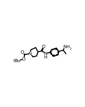 CC(N)c1ccc(NC(=O)C2CCN(C(=O)OC(C)(C)C)CC2)cc1